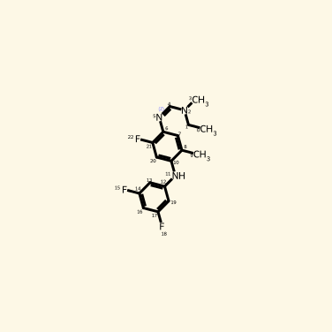 CCN(C)/C=N\c1cc(C)c(Nc2cc(F)cc(F)c2)cc1F